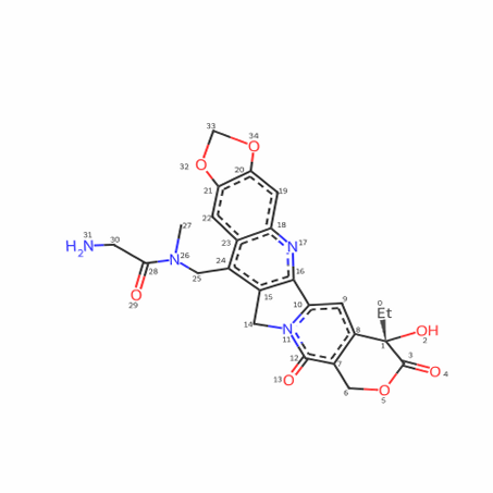 CC[C@@]1(O)C(=O)OCc2c1cc1n(c2=O)Cc2c-1nc1cc3c(cc1c2CN(C)C(=O)CN)OCO3